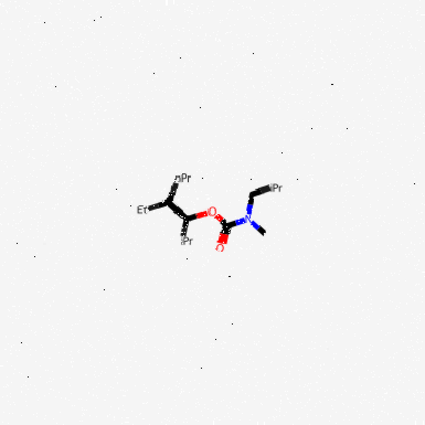 CCCC(CC)C(OC(=O)N(C)CC(C)C)C(C)C